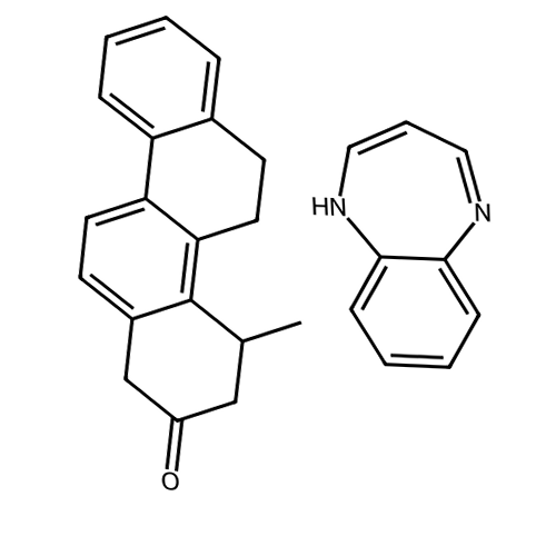 C1=CNc2ccccc2N=C1.CC1CC(=O)Cc2ccc3c(c21)CCc1ccccc1-3